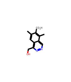 Cc1cc2c(CO)nncc2c(C)c1C(=O)O